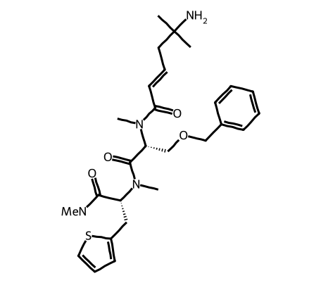 CNC(=O)[C@@H](Cc1cccs1)N(C)C(=O)[C@@H](COCc1ccccc1)N(C)C(=O)/C=C/CC(C)(C)N